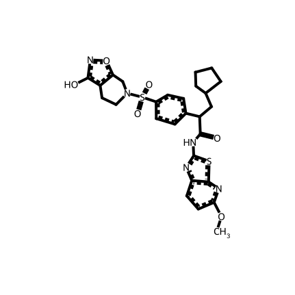 COc1ccc2nc(NC(=O)C(CC3CCCC3)c3ccc(S(=O)(=O)N4CCc5c(O)noc5C4)cc3)sc2n1